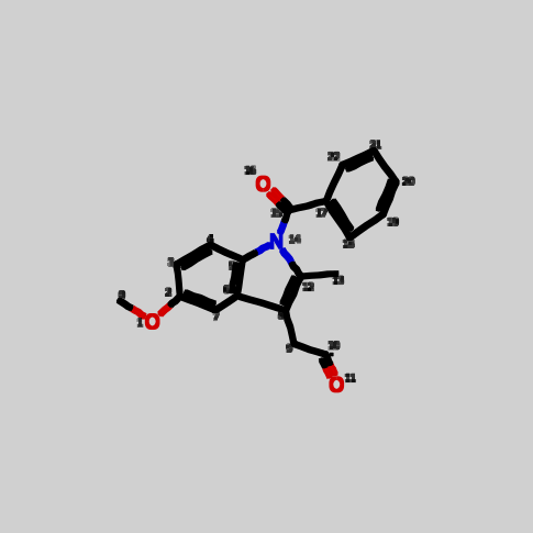 COc1ccc2c(c1)c(C[C]=O)c(C)n2C(=O)c1ccccc1